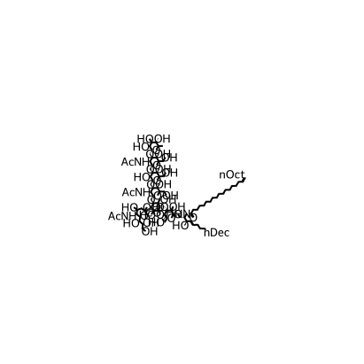 CCCCCCCC/C=C\CCCCCCCCCCCCCCCC(=O)N[C@@H](CO[C@@H]1OC(CO)[C@@H](O[C@@H]2OC(CO)[C@H](O[C@@H]3OC(CO)[C@H](O)[C@H](O[C@@H]4OC(CO)[C@H](O)[C@H](O[C@@H]5OC(CO)[C@H](O)[C@H](O[C@H]6OC(C)[C@@H](O)C(O)[C@@H]6O)C5NC(C)=O)C4O)C3NC(C)=O)[C@H](O[C@]3(C(=O)O)CC(O)[C@@H](NC(C)=O)C([C@H](O)[C@H](O)CO)O3)C2O)[C@H](O)C1O)[C@H](O)/C=C/CCCCCCCCCCCCC